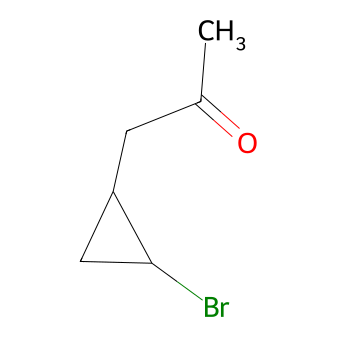 CC(=O)CC1CC1Br